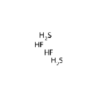 F.F.S.S